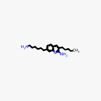 CCCCCc1cc2ccc(CCCCCCN)cc2nc1N